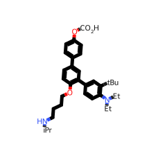 CCN(CC)c1ccc(-c2cc(-c3ccc(OC(=O)O)cc3)ccc2OCCCCNC(C)C)cc1C(C)(C)C